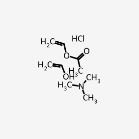 C=CO.C=COC(C)=O.CN(C)C.Cl